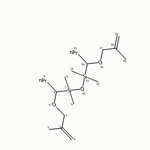 C=C(C)COC(CCC)[Si](C)(C)O[Si](C)(C)C(CCC)OCC(=C)C